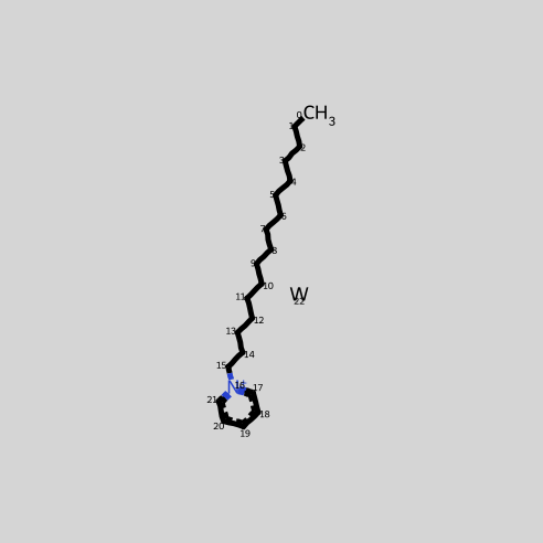 CCCCCCCCCCCCCCCC[n+]1ccccc1.[W]